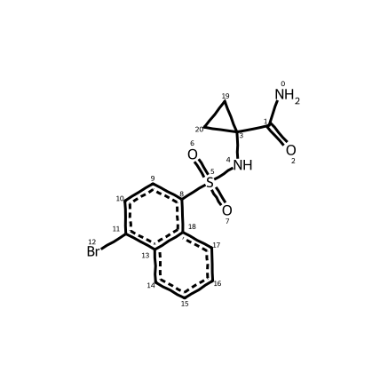 NC(=O)C1(NS(=O)(=O)c2ccc(Br)c3ccccc23)CC1